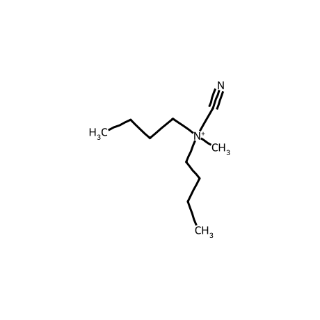 CCCC[N+](C)(C#N)CCCC